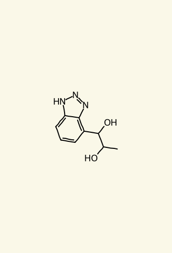 CC(O)C(O)c1cccc2[nH]nnc12